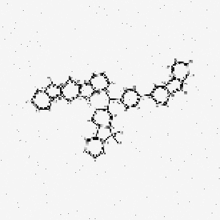 CC1(C)c2ccccc2-c2ccc(C(c3ccc(-c4ccc5sc6ccccc6c5c4)cc3)c3cccc4c3oc3cc5c(cc34)oc3ccccc35)cc21